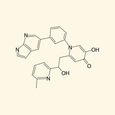 Cc1cccc(C(O)Cc2cc(=O)c(O)cn2-c2cccc(-c3cnc4c(c3)C=C=N4)c2)n1